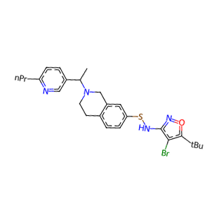 CCCc1ccc(C(C)N2CCc3ccc(SNc4noc(C(C)(C)C)c4Br)cc3C2)cn1